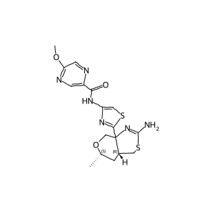 COc1cnc(C(=O)Nc2csc(C34CO[C@@H](C)C[C@H]3CSC(N)=N4)n2)cn1